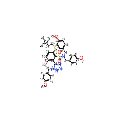 COc1ccc(CN(Cc2ccc(OC)cc2)S(=O)(=O)c2c(SCC[Si](C)(C)C)ccc(I)c2-c2nnnn2Cc2ccc(OC)cc2)cc1